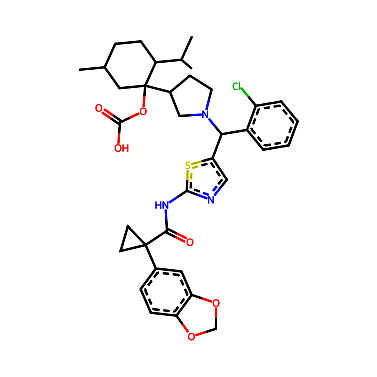 CC1CCC(C(C)C)C(OC(=O)O)(C2CCN(C(c3cnc(NC(=O)C4(c5ccc6c(c5)OCO6)CC4)s3)c3ccccc3Cl)C2)C1